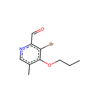 CCCOc1c(C)cnc(C=O)c1Br